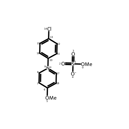 COS(=O)(=O)[O-].COc1cc[n+](-c2ccc(Cl)cc2)cc1